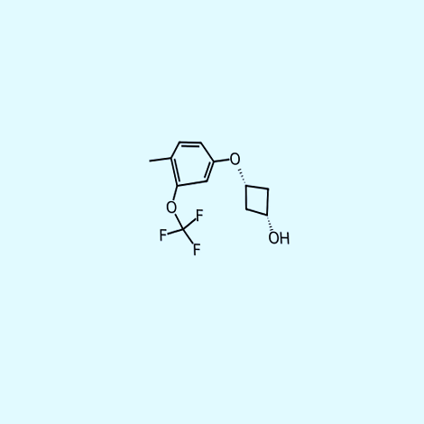 Cc1ccc(O[C@H]2C[C@@H](O)C2)cc1OC(F)(F)F